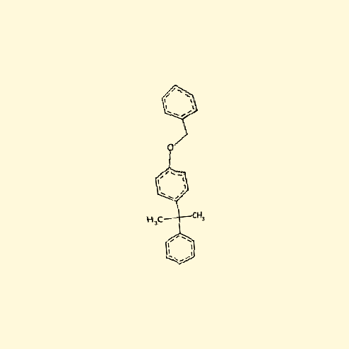 CC(C)(c1ccccc1)c1ccc(OCc2ccccc2)cc1